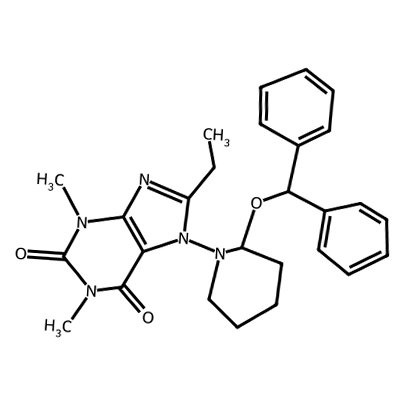 CCc1nc2c(c(=O)n(C)c(=O)n2C)n1N1CCCCC1OC(c1ccccc1)c1ccccc1